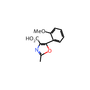 COc1ccccc1-c1oc(C)nc1C(=O)O